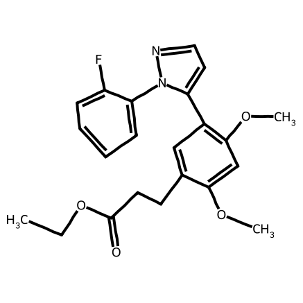 CCOC(=O)CCc1cc(-c2ccnn2-c2ccccc2F)c(OC)cc1OC